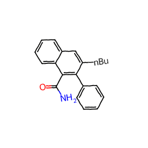 CCCCc1cc2ccccc2c(C(N)=O)c1-c1ccccc1